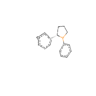 c1ccc([C@@H]2CCCP2c2ccccc2)cc1